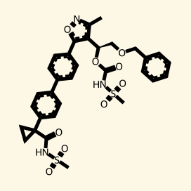 Cc1noc(-c2ccc(-c3ccc(C4(C(=O)NS(C)(=O)=O)CC4)cc3)cc2)c1[C@@H](COCc1ccccc1)OC(=O)NS(C)(=O)=O